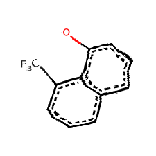 [O]c1cccc2cccc(C(F)(F)F)c12